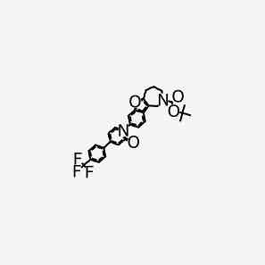 CC(C)(C)OC(=O)N1CCCc2oc3cc(-n4ccc(-c5ccc(C(F)(F)F)cc5)cc4=O)ccc3c2C1